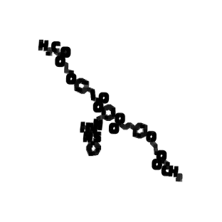 C=CC(=O)OCCCOc1ccc(/C=C/C(=O)Oc2ccc(OC(=O)/C=C/c3ccc(OCCCOC(=O)C=C)cc3)c(/C=N/Nc3nc4ccccc4s3)c2)cc1